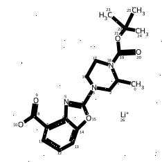 CC1CN(c2nc3c(C(=O)[O-])cccc3o2)CCN1C(=O)OC(C)(C)C.[Li+]